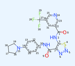 O=C(Nc1snnc1C(=O)Nc1ccc(N2CCCC2)cc1)c1cncc(C(F)(F)F)c1